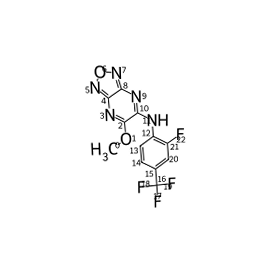 COc1nc2nonc2nc1Nc1ccc(C(F)(F)F)cc1F